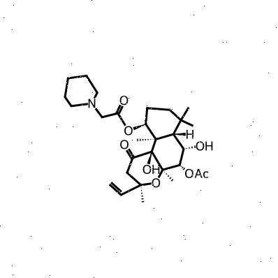 C=C[C@@]1(C)CC(=O)[C@]2(O)[C@@]3(C)[C@@H](OC(=O)CN4CCCCC4)CCC(C)(C)[C@@H]3[C@H](O)[C@H](OC(C)=O)[C@@]2(C)O1